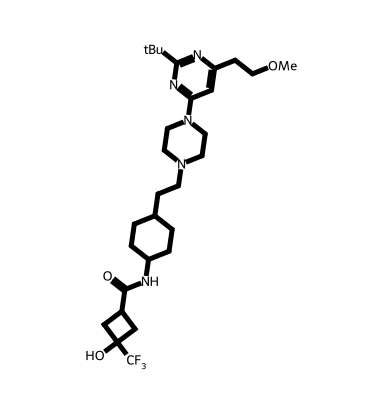 COCCc1cc(N2CCN(CCC3CCC(NC(=O)C4CC(O)(C(F)(F)F)C4)CC3)CC2)nc(C(C)(C)C)n1